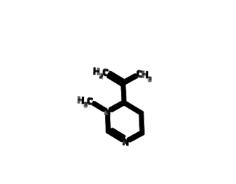 C=C(C)C1CCN=CN1C